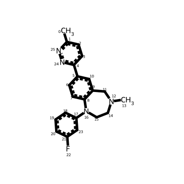 Cc1ccc(-c2ccc3c(c2)CN(C)CCN3c2cccc(F)c2)nn1